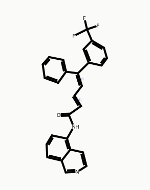 O=C(/C=C/C=C(\c1ccccc1)c1cccc(C(F)(F)F)c1)Nc1cccc2cnccc12